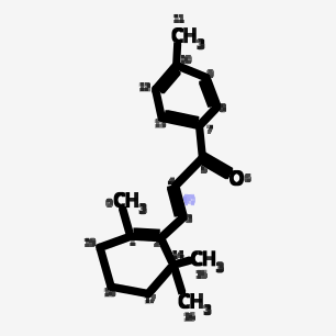 CC1=C(/C=C/C(=O)c2ccc(C)cc2)C(C)(C)CCC1